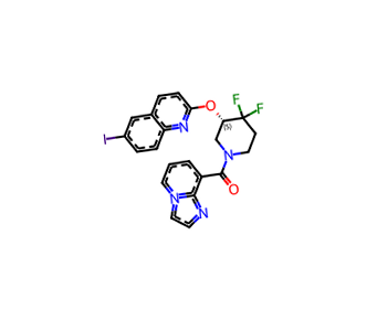 O=C(c1cccn2ccnc12)N1CCC(F)(F)[C@@H](Oc2ccc3cc(I)ccc3n2)C1